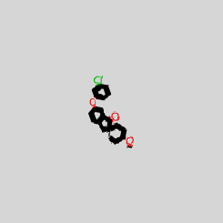 CO[C@H]1CC[C@]2(CC1)Cc1ccc(Oc3cccc(Cl)c3)cc1C2=O